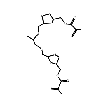 C=C(C)C(=O)OCC1CSC(CSCC(C)SCC2SCC(COC(=O)C(=C)C)S2)S1